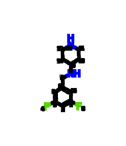 Fc1cc(F)cc(CNC2CCNCC2)c1